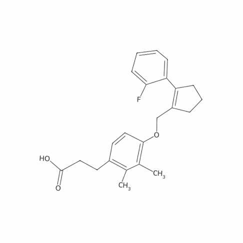 Cc1c(CCC(=O)O)ccc(OCC2=C(c3ccccc3F)CCC2)c1C